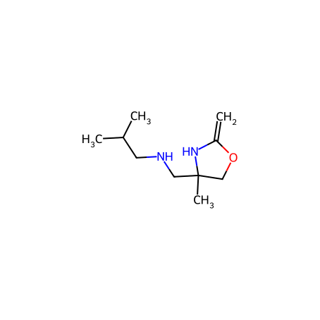 C=C1NC(C)(CNCC(C)C)CO1